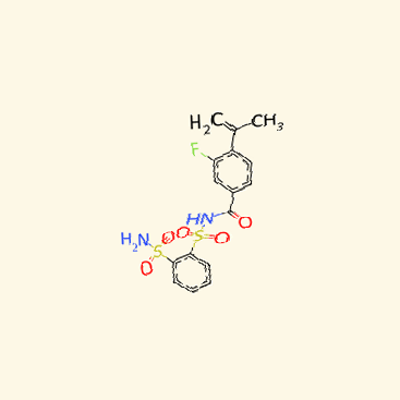 C=C(C)c1ccc(C(=O)NS(=O)(=O)c2ccccc2S(N)(=O)=O)cc1F